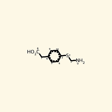 NCSc1ccc(CC(=O)O)cc1